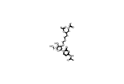 CC(=O)Nc1ccn([C@@H]2O[C@H](CO)[C@@H](O)[C@H]2OCOCCC(COC(C)=O)OC(C)=O)c(=O)n1